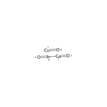 [O]=[Cu].[O]=[Ga][In]=[O]